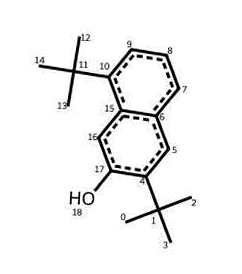 CC(C)(C)c1cc2cccc(C(C)(C)C)c2cc1O